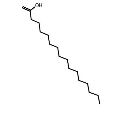 C=C(O)CCCCCCCCCCCCCCC